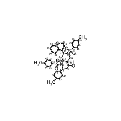 Cc1ccc(C2CC(=O)[C@@H]3CN(S(=O)(=O)c4ccc(C)cc4)C(c4cccc5ccccc45)C[C@@H]3N2S(=O)(=O)c2ccc(C)cc2)cc1